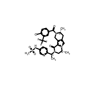 C[C@@H]1Cc2cn3c(c2CN1C(=O)c1ccc(Cl)c(C(F)(F)F)c1)C(=O)N([C@@H](C)c1ccc(NS(C)(=O)=O)cn1)C[C@H]3C